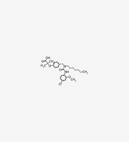 CCCCCCCN(Cc1ccc(OC(C)(C)C(=O)O)cc1)C(=O)Nc1ccc(Cl)cc1OC